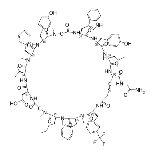 CCCC[C@H]1C(=O)N(C)CC(=O)N[C@@H](CC(=O)O)C(=O)N[C@@H](C(C)C)C(=O)N(C)[C@@H](Cc2ccccc2)C(=O)N[C@@H](Cc2ccc(O)cc2)C(=O)N(C)CC(=O)N[C@@H](Cc2c[nH]c3ccccc23)C(=O)N[C@@H](Cc2ccc(O)cc2)C(=O)N[C@@H](CC(C)C)C(=O)N[C@H](C(=O)NCC(N)=O)CSCC(=O)N[C@@H](Cc2cccc(C(F)(F)F)c2)C(=O)N(C)[C@@H](Cc2ccccc2)C(=O)N1C